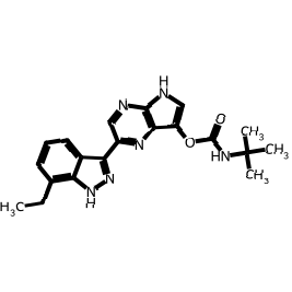 CCc1cccc2c(-c3cnc4[nH]cc(OC(=O)NC(C)(C)C)c4n3)n[nH]c12